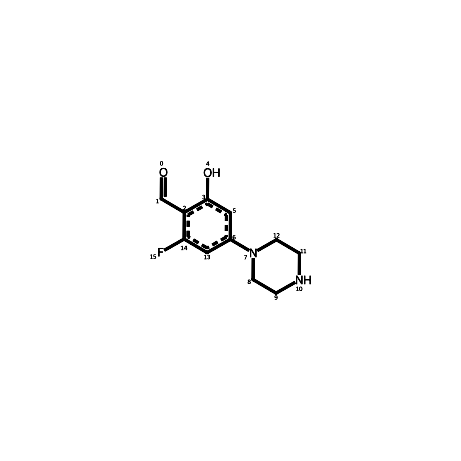 O=Cc1c(O)cc(N2CCNCC2)cc1F